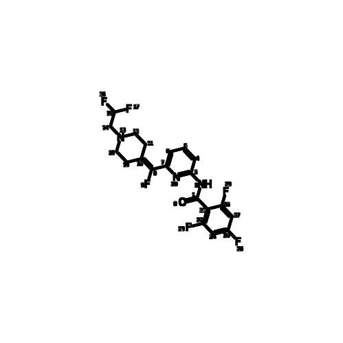 O=C(Nc1cccc(C(F)=C2CCN(CC(F)F)CC2)n1)c1c(F)cc(F)cc1F